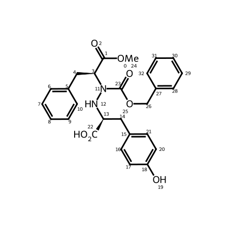 COC(=O)[C@H](Cc1ccccc1)N(N[C@@H](Cc1ccc(O)cc1)C(=O)O)C(=O)OCc1ccccc1